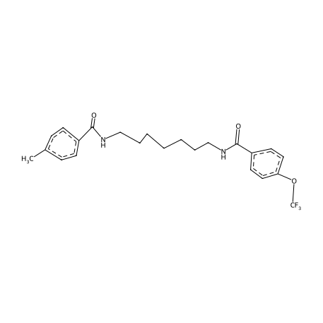 Cc1ccc(C(=O)NCCCCCCCNC(=O)c2ccc(OC(F)(F)F)cc2)cc1